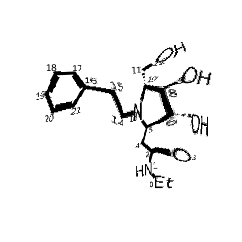 CCNC(=O)C[C@@H]1[C@@H](O)[C@H](O)[C@@H](CO)N1CCc1ccccc1